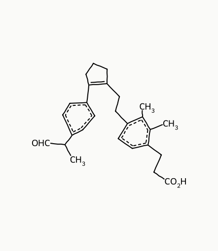 Cc1c(CCC(=O)O)ccc(CCC2=C(c3ccc(C(C)C=O)cc3)CCC2)c1C